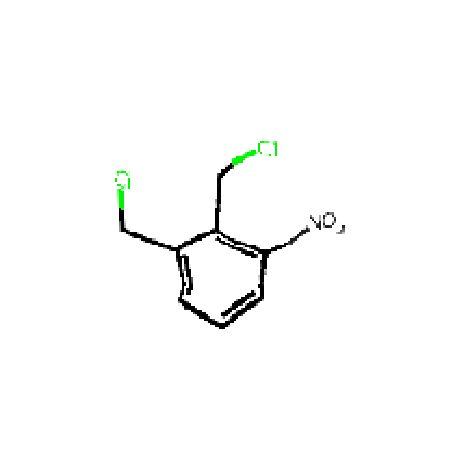 O=[N+]([O-])c1cccc(CCl)c1CCl